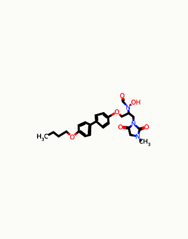 CCCCOc1ccc(-c2ccc(OCC(CN3C(=O)CN(C)C3=O)N(O)C=O)cc2)cc1